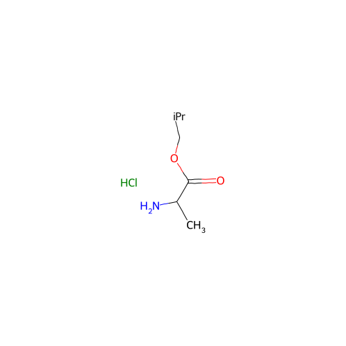 CC(C)COC(=O)C(C)N.Cl